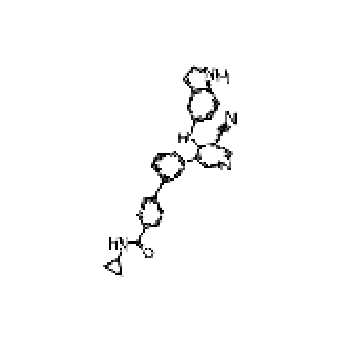 N#Cc1cncc(-c2cccc(-c3ccc(C(=O)NC4CC4)cc3)c2)c1Nc1ccc2[nH]ccc2c1